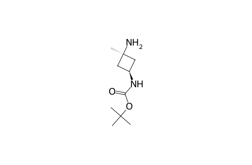 CC(C)(C)OC(=O)N[C@H]1C[C@@](C)(N)C1